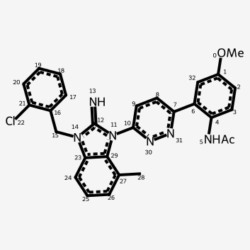 COc1ccc(NC(C)=O)c(-c2ccc(-n3c(=N)n(Cc4ccccc4Cl)c4cccc(C)c43)nn2)c1